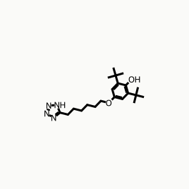 CC(C)(C)c1cc(OCCCCCCc2nnn[nH]2)cc(C(C)(C)C)c1O